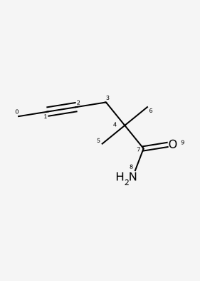 CC#CCC(C)(C)C(N)=O